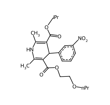 CCCOCCOC(=O)C1=C(C)NC(C)=C(C(=O)OC(C)C)C1c1cccc([N+](=O)[O-])c1